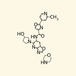 Cc1cc(-c2nc(C(=O)Nc3cc4oc([C@H]5CNCCO5)nc4nc3N3CCC(O)C3)co2)ccn1